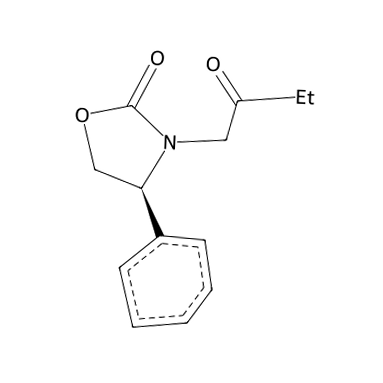 CCC(=O)CN1C(=O)OC[C@@H]1c1ccccc1